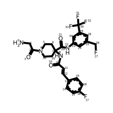 NCC(=O)N1CCC(NC(=O)/C=C/c2ccc(F)cc2)(C(=O)Nc2cc(CF)cc(C(F)(F)F)c2)CC1